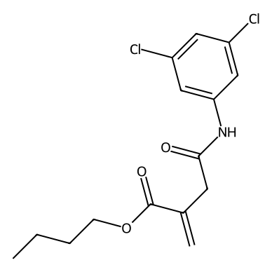 C=C(CC(=O)Nc1cc(Cl)cc(Cl)c1)C(=O)OCCCC